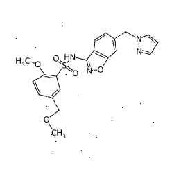 COCc1ccc(OC)c(S(=O)(=O)Nc2noc3cc(Cn4cccn4)ccc23)c1